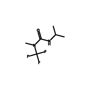 CC(C)NC(=O)N(C)C(F)(F)F